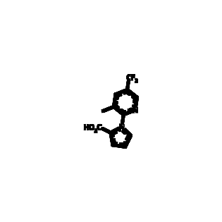 Cc1cc(C(F)(F)F)cnc1-n1cccc1C(=O)O